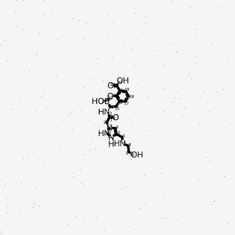 O=C(CN1C=C(CNCCO)NN1)N[C@H]1Cc2cccc(C(=O)O)c2OB1O